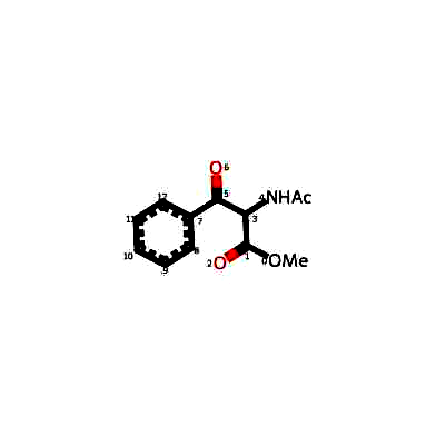 COC(=O)C(NC(C)=O)C(=O)c1ccccc1